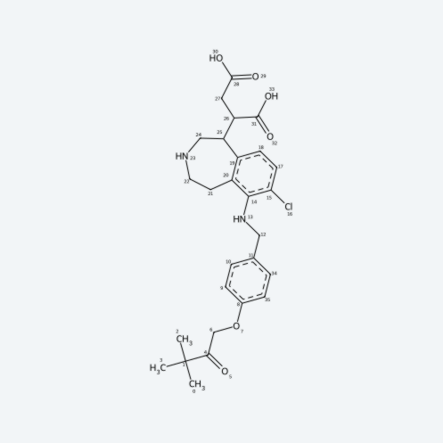 CC(C)(C)C(=O)COc1ccc(CNc2c(Cl)ccc3c2CCNCC3C(CC(=O)O)C(=O)O)cc1